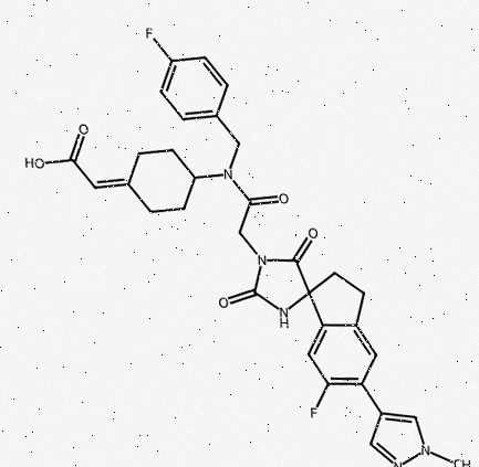 Cn1cc(-c2cc3c(cc2F)C2(CC3)NC(=O)N(CC(=O)N(Cc3ccc(F)cc3)C3CCC(=CC(=O)O)CC3)C2=O)cn1